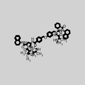 CNC(C)C(=O)NC(C(=O)N1C[C@@H](NC(=O)c2ccc(COc3ccc(CN(NC(=O)C(C)NC)C(=O)[C@@H]4CCCC[C@H]4C(=O)N[C@@H]4CCCc5ccccc54)cc3)cc2)CC1C(=O)N[C@@H]1CCCc2ccccc21)C(C)(C)C